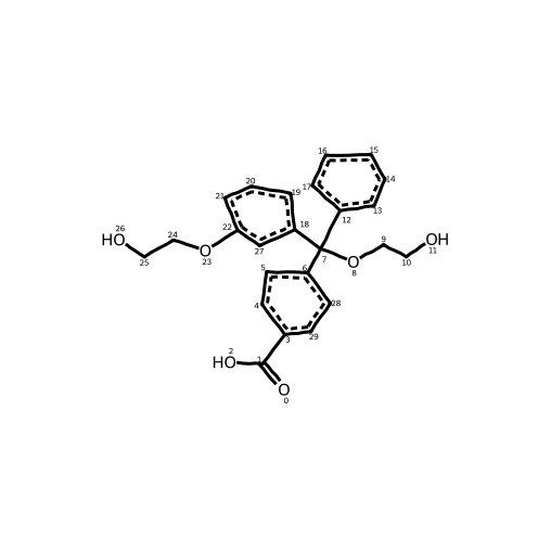 O=C(O)c1ccc(C(OCCO)(c2ccccc2)c2cccc(OCCO)c2)cc1